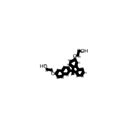 CC1(c2ccc3cc(OCCO)ccc3c2)c2ccccc2-c2cc(OCCO)ccc21